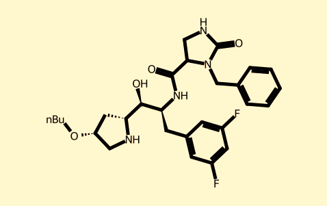 CCCCO[C@H]1CN[C@@H]([C@@H](O)[C@H](Cc2cc(F)cc(F)c2)NC(=O)C2CNC(=O)N2Cc2ccccc2)C1